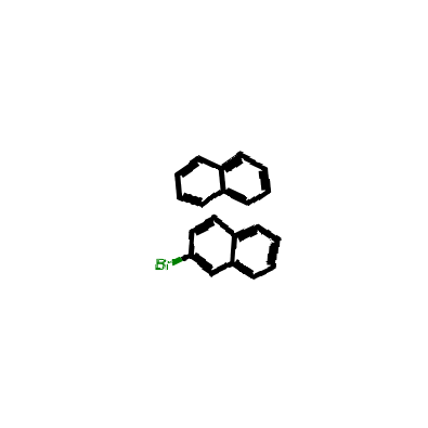 Brc1[c]c2ccccc2cc1.[c]1cccc2ccccc12